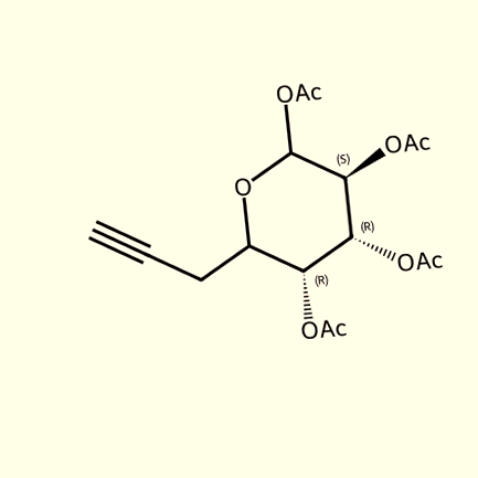 C#CCC1OC(OC(C)=O)[C@@H](OC(C)=O)[C@H](OC(C)=O)[C@@H]1OC(C)=O